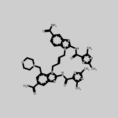 Cc1nc(C)c(C(=O)Nc2nc3cc(C(N)=O)ccc3n2C/C=C/Cn2c(NC(=O)c3oc(C)nc3C)nc3cc(C(N)=O)cc(CN4CCOCC4)c32)o1